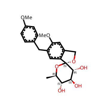 COc1ccc(Cc2cc3c(cc2OC)CO[C@]32O[C@H](C)[C@@H](O)[C@H](O)[C@H]2O)cc1